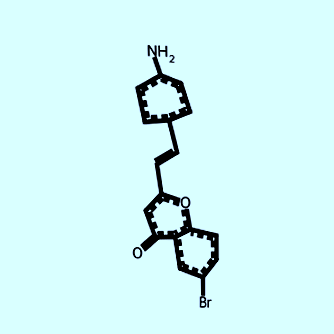 Nc1ccc(C=Cc2cc(=O)c3cc(Br)ccc3o2)cc1